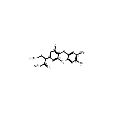 CCOC(=O)CC(C(=O)OC)c1cc(Cl)c(Cc2ccc(O)c(C(C)C)c2)c(Cl)c1